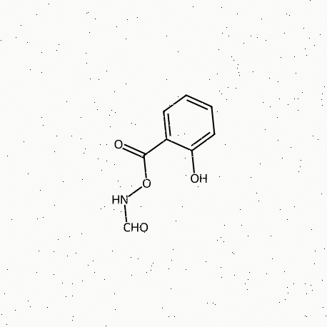 O=CNOC(=O)c1ccccc1O